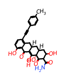 Cc1ccc(C#Cc2ccc(O)c3c2C[C@H]2C[C@H]4CC(O)C(C(N)=O)C(=O)[C@@]4(O)C(O)=C2C3=O)cc1